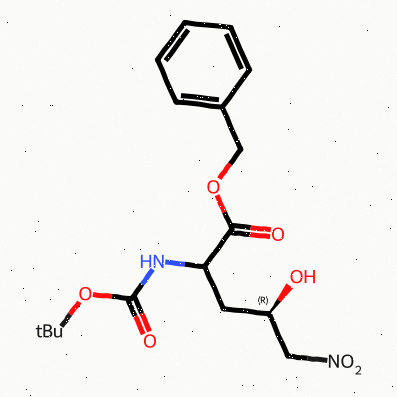 CC(C)(C)OC(=O)NC(C[C@@H](O)C[N+](=O)[O-])C(=O)OCc1ccccc1